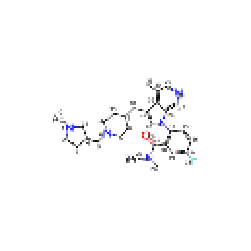 CC(=O)N1CC[C@H](CN2CCC(Cc3cn(-c4ccc(F)cc4C(=O)N(C)C(C)C)c4cncc(C)c34)CC2)C1